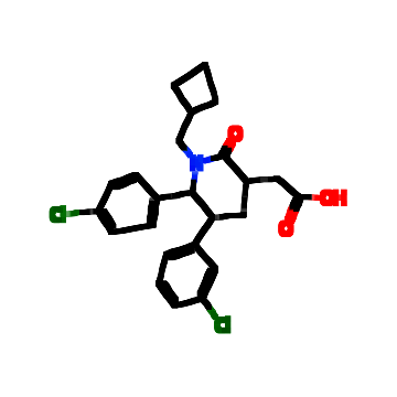 O=C(O)CC1CC(c2cccc(Cl)c2)C(c2ccc(Cl)cc2)N(CC2CCC2)C1=O